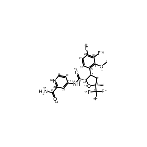 COc1c([C@H]2C[C@](C)(C(F)(F)F)O[C@@H]2C(=O)Nc2ccnc(C(N)=O)c2)ccc(F)c1F